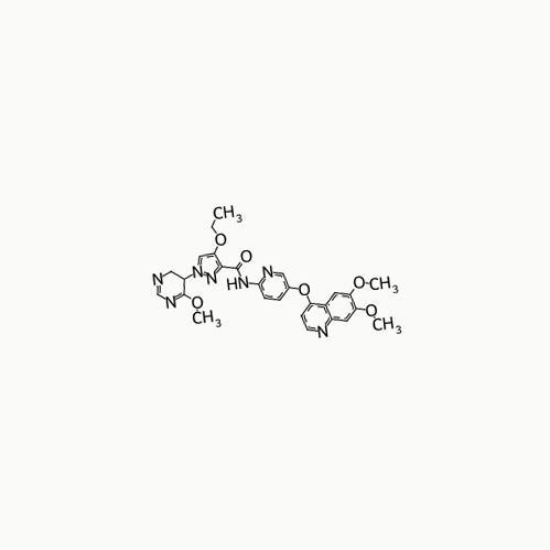 CCOc1cn(C2CN=CN=C2OC)nc1C(=O)Nc1ccc(Oc2ccnc3cc(OC)c(OC)cc23)cn1